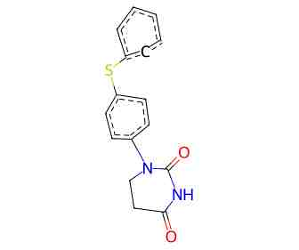 O=C1CCN(c2ccc(Sc3ccccc3)cc2)C(=O)N1